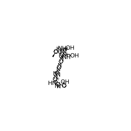 C#Cc1ccc([C@H](C)NC(=O)[C@@H]2C[C@@H](O)CN2C(=O)[C@@H](NC(=O)N2CCC(N3CCN(c4cnc(N5CCc6[nH]c7nnc(-c8ccccc8O)cc7c6[C@H]5C)nc4)CC3)CC2)C(C)(C)CCO)cc1